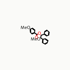 COc1ccc(C(=O)OC(c2ccccc2)C(OC)c2ccccc2)cc1